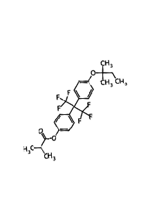 CCC(C)(C)Oc1ccc(C(c2ccc(OC(=O)C(C)C)cc2)(C(F)(F)F)C(F)(F)F)cc1